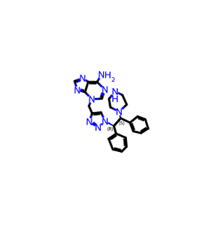 Nc1ncn(Cc2cn([C@H](c3ccccc3)[C@H](c3ccccc3)N3CCNCC3)nn2)c2ncnc1-2